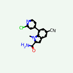 Cn1c(C(N)=O)cc2cc(C#N)cc(-c3ccnc(Cl)c3)c21